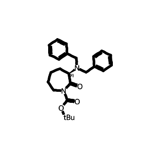 CC(C)(C)OC(=O)N1CCCC[C@@H](N(Cc2ccccc2)Cc2ccccc2)C1=O